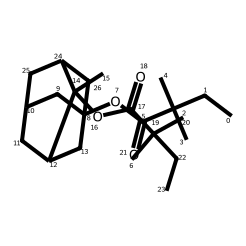 CCC(C)(C)C(=O)OC12CC3CC(C1)C(C)(OC(=O)C(C)(C)CC)C(C3)C2